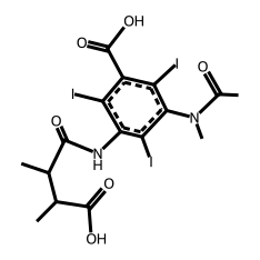 CC(=O)N(C)c1c(I)c(NC(=O)C(C)C(C)C(=O)O)c(I)c(C(=O)O)c1I